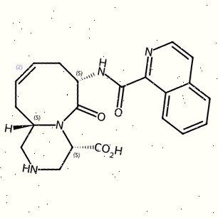 O=C(N[C@H]1C/C=C\C[C@H]2CNC[C@@H](C(=O)O)N2C1=O)c1nccc2ccccc12